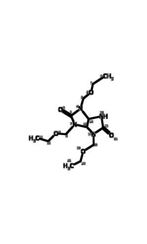 CCOCN1C(=O)N(COCC)C2C1NC(=O)N2COCC